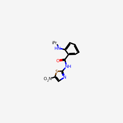 CC(C)Nc1ccccc1C(=O)Nc1ncc([N+](=O)[O-])s1